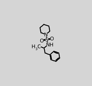 CC(Cc1ccccc1)NS(=O)(=O)N1CCCCC1